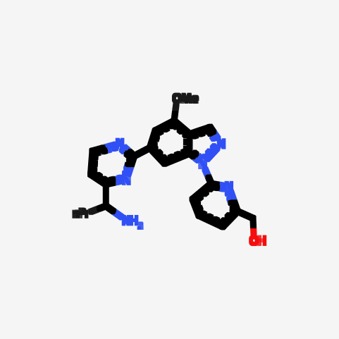 CCCC(N)c1ccnc(-c2cc(OC)c3cnn(-c4cccc(CO)n4)c3c2)n1